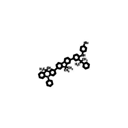 CC(C)(C)c1ccc(Nc2ccc(-c3ccc4c(c3)C(C)(C)c3cc(-c5ccc6c(c5)C(C)(C)c5ccccc5N6c5ccccc5)ccc3-4)cc2C(C)(C)c2ccccc2)cc1